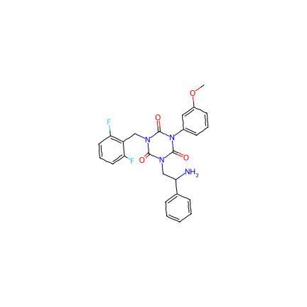 COc1cccc(-n2c(=O)n(Cc3c(F)cccc3F)c(=O)n(CC(N)c3ccccc3)c2=O)c1